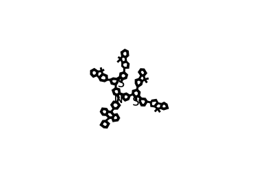 CC1(C)C2=C(C=CC(c3ccc4sc5c(-c6ccc7c(c6)c6cc(-c8cc(-c9ccc%10c(c9)C(C)(C)c9ccccc9-%10)cc9c8sc8ccc(C%10C=CC%11=C(C%10)C(C)(C)c%10ccccc%10%11)cc89)ccc6n7-c6ccc(-c7c8ccccc8c(-c8ccccc8)c8ccccc78)cc6)cc(-c6ccc7c(c6)C(C)(C)c6ccccc6-7)cc5c4c3)C2)c2ccccc21